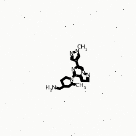 CC1CC(CN)CCN1c1nc(-c2cnn(C)c2)cn2nccc12